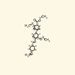 CCOC(=O)c1cnc(-c2cnc(OCc3ccc(OC)cc3)c(OCC)c2)nc1CC